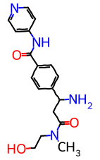 CN(CCO)C(=O)CC(N)c1ccc(C(=O)Nc2ccncc2)cc1